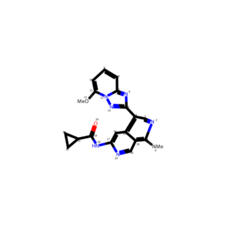 CNc1ncc(-c2nc3cccc(OC)n3n2)c2cc(NC(=O)C3CC3)ncc12